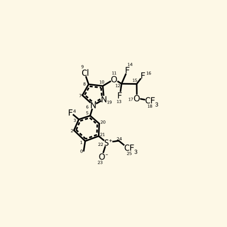 Cc1cc(F)c(-n2cc(Cl)c(OC(F)(F)C(F)OC(F)(F)F)n2)cc1[S+]([O-])CC(F)(F)F